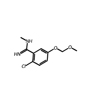 CNC(=N)c1cc(OCOC)ccc1Cl